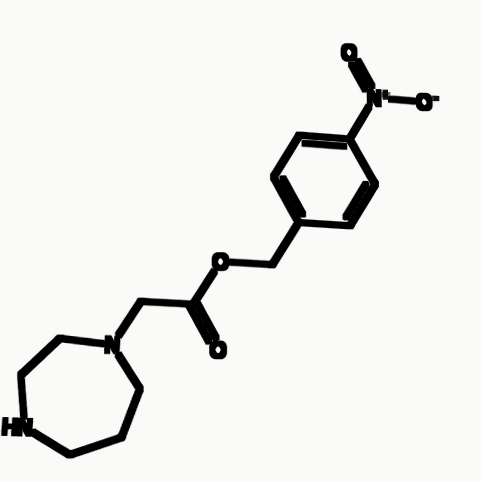 O=C(CN1CCCNCC1)OCc1ccc([N+](=O)[O-])cc1